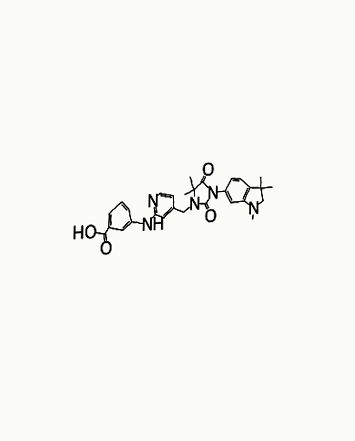 CN1CC(C)(C)c2ccc(N3C(=O)N(Cc4ccnc(Nc5cccc(C(=O)O)c5)c4)C(C)(C)C3=O)cc21